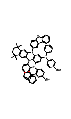 CC(C)(C)c1ccc(N(c2ccccc2)c2cc3c4c(c2)N(c2ccc(C(C)(C)C)cc2-c2ccccc2)c2c(ccc5oc6ccccc6c25)B4c2cc4c(cc2N3c2ccc3oc5ccccc5c3c2)C(C)(C)CCC4(C)C)cc1